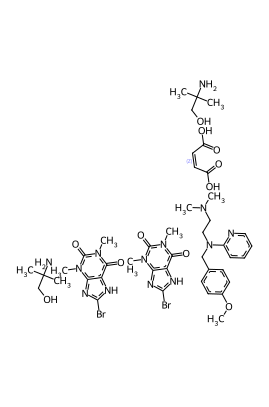 CC(C)(N)CO.CC(C)(N)CO.COc1ccc(CN(CCN(C)C)c2ccccn2)cc1.Cn1c(=O)c2[nH]c(Br)nc2n(C)c1=O.Cn1c(=O)c2[nH]c(Br)nc2n(C)c1=O.O=C(O)/C=C\C(=O)O